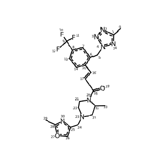 Cc1nnn(Cc2cc(C(F)(F)F)ccc2/C=C/C(=O)N2CCN(Cc3coc(C)n3)CC2C)n1